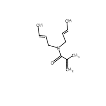 C=C(C)C(=O)N(CC=CO)CC=CO